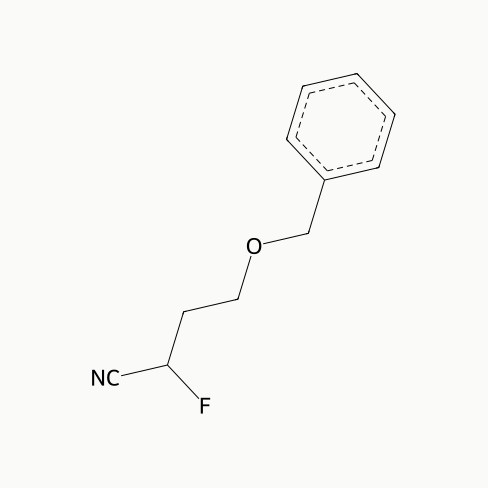 N#CC(F)CCOCc1ccccc1